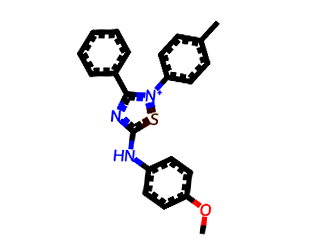 COc1ccc(Nc2nc(-c3ccccc3)[n+](-c3ccc(C)cc3)s2)cc1